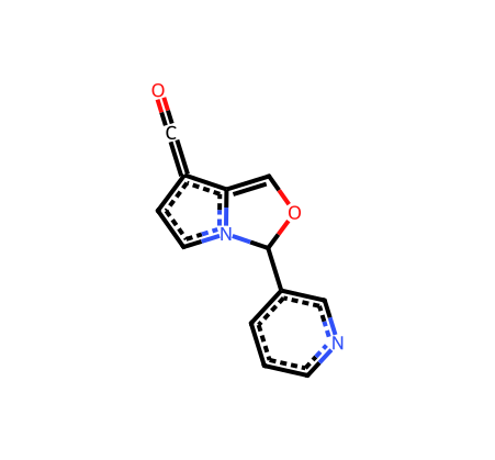 O=C=c1ccn2c1=COC2c1cccnc1